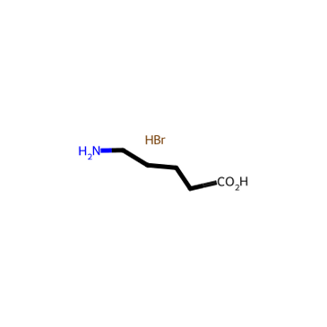 Br.NCCCCC(=O)O